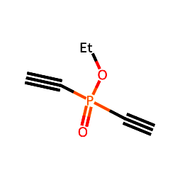 C#CP(=O)(C#C)OCC